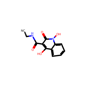 N#CCNC(=O)c1c(O)c2ccccc2n(O)c1=O